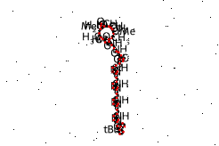 COC1C=CC=C(C)C(=O)NC2=CC(=O)C(NCCCNC(=O)CCCN3C(=O)CC(SC[C@H]4CCN5CC[C@H](CSC[C@H]6CCN7CC[C@H](CSC[C@H]8CCN9CC[C@H](CSC[C@H]%10CCN%11CC[C@H](CO[Si](c%12ccccc%12)(c%12ccccc%12)C(C)(C)C)N=C%11N%10)N=C9N8)N=C7N6)N=C5N4)C3=O)=C(CC(C)CC(OC)C(O)C(C)C=C(C)C1OC(N)=O)C2=O